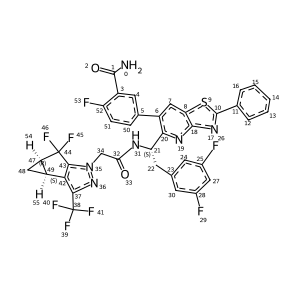 NC(=O)c1cc(-c2cc3sc(-c4ccccc4)nc3nc2[C@H](Cc2cc(F)cc(F)c2)NC(=O)Cn2nc(C(F)(F)F)c3c2C(F)(F)[C@@H]2C[C@H]32)ccc1F